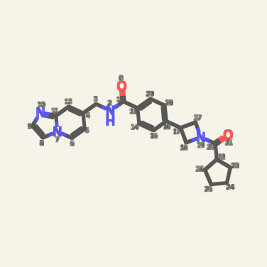 O=C(NCc1ccn2ccnc2c1)c1ccc(C2CN(C(=O)C3CCCC3)C2)cc1